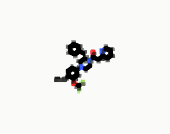 COc1ccc(N2CCN(C(=O)Cc3ccccn3)[C@@H](Cc3ccccc3)C2)cc1OC(F)F